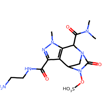 CN(C)C(=O)C1c2c(c(C(=O)NCCN)nn2C)C2CN1C(=O)N2OS(=O)(=O)O